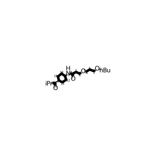 CCCCOCCCOCCC(=O)N[C@H]1CC[C@@H](C(=O)C(C)C)CC1